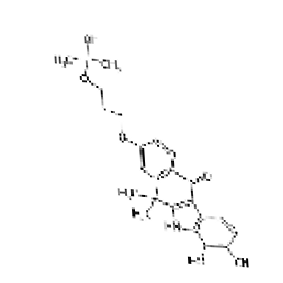 CC(C)(O)OCCCOc1ccc2c(c1)C(C)(C)c1[nH]c3c(O)c(C#N)ccc3c1C2=O